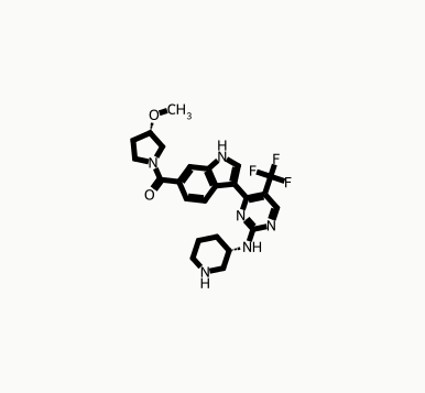 CO[C@H]1CCN(C(=O)c2ccc3c(-c4nc(N[C@H]5CCCNC5)ncc4C(F)(F)F)c[nH]c3c2)C1